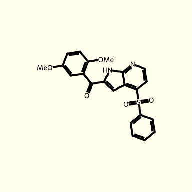 COc1ccc(OC)c(C(=O)c2cc3c(S(=O)(=O)c4ccccc4)ccnc3[nH]2)c1